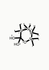 C[Si]1(C)OC(O)(O)[Si](C)(C)[Si](C)(C)[Si]1(C)C